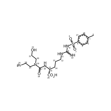 Cc1ccc(S(=O)(=O)NC(=N)NCCC[C@H](NC(=O)N(CCO)CCC(C)C)C(=O)O)cc1